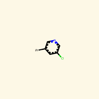 CC(C)c1cn[c]c(Cl)c1